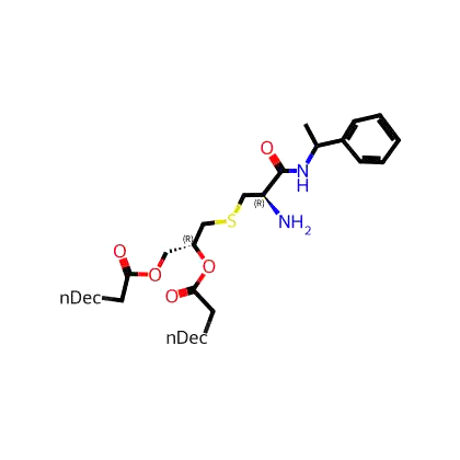 CCCCCCCCCCCC(=O)OC[C@H](CSC[C@H](N)C(=O)NC(C)c1ccccc1)OC(=O)CCCCCCCCCCC